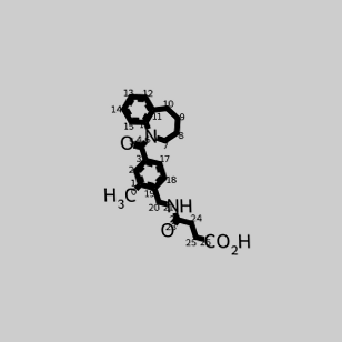 Cc1cc(C(=O)N2CCCCc3ccccc32)ccc1CNC(=O)CCC(=O)O